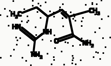 CCC(C=C(C)C(N)=O)NC(=N)N